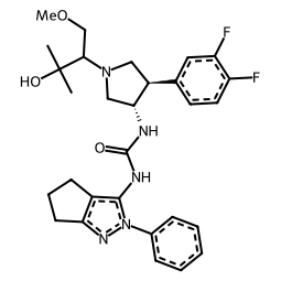 COCC(N1C[C@@H](NC(=O)Nc2c3c(nn2-c2ccccc2)CCC3)[C@H](c2ccc(F)c(F)c2)C1)C(C)(C)O